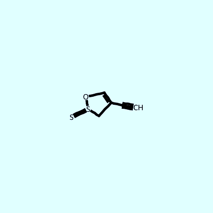 C#CC1=COS(=S)C1